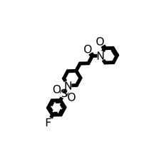 O=C1C=CCCN1C(=O)CCC1CCN(S(=O)(=O)c2ccc(F)cc2)CC1